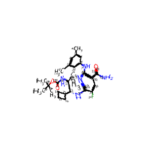 Cc1cc(C)cc(Nc2nc(N[C@H](C3CCC3)[C@H](C)NC(=O)OC(C)(C)C)c(F)cc2C(N)=O)c1